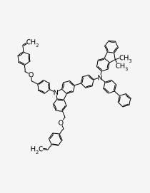 C=Cc1ccc(COCc2ccc(-n3c4ccc(COCc5ccc(C=C)cc5)cc4c4cc(-c5ccc(N(c6ccc(-c7ccccc7)cc6)c6ccc7c(c6)C(C)(C)c6ccccc6-7)cc5)ccc43)cc2)cc1